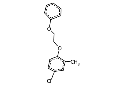 Cc1cc(Cl)ccc1OCCOc1ccccc1